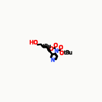 CC(C)(C)OC(=O)N(C(=O)OC(C)(C)C)c1ccncc1C#CCCCCO